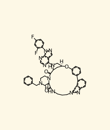 O=C1NCCCn2cc3c(cccc3n2)-c2cccc(c2)O[C@H]2C[C@@H](C(=O)N3CCN(Cc4ccccc4)C[C@@H]13)N(c1ncnc3c1cnn3-c1ccc(F)cc1F)C2